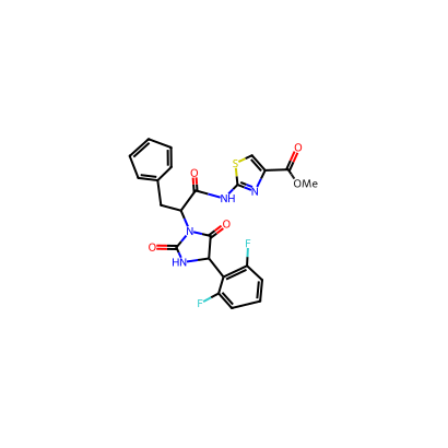 COC(=O)c1csc(NC(=O)C(Cc2ccccc2)N2C(=O)NC(c3c(F)cccc3F)C2=O)n1